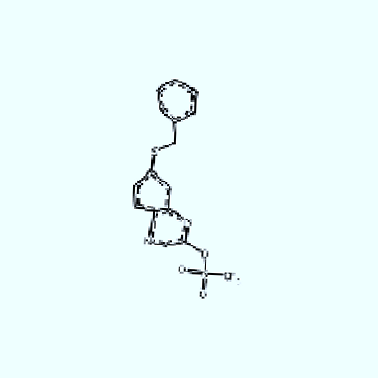 O=S(=O)(Oc1cnc2ccc(SCc3ccccc3)cc2n1)C(F)(F)F